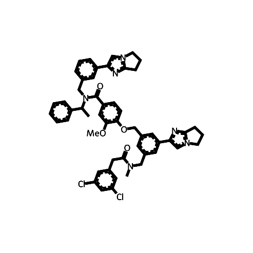 COc1cc(C(=O)N(Cc2cccc(-c3cn4c(n3)CCC4)c2)C(C)c2ccccc2)ccc1OCc1cc(CN(C)C(=O)Cc2cc(Cl)cc(Cl)c2)cc(-c2cn3c(n2)CCC3)c1